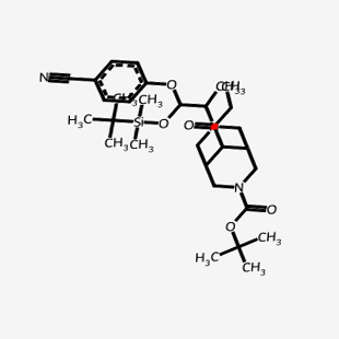 CCC(=O)C1C2CN(C(=O)OC(C)(C)C)CC1CN(C(C)C(Oc1ccc(C#N)cc1)O[Si](C)(C)C(C)(C)C)C2